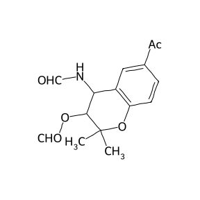 CC(=O)c1ccc2c(c1)C(NC=O)C(OC=O)C(C)(C)O2